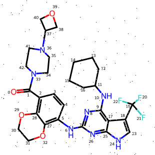 O=C(c1ccc(Nc2nc(NC3CCCCC3)c3c(C(F)(F)F)c[nH]c3n2)c2c1OCCO2)N1CCN(C2COC2)CC1